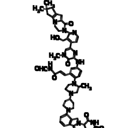 C[C@H]1CN(C2CCN(c3cccc4c3CN(C3CCC(=O)NC3=O)C4=O)CC2)CCN1c1ccc(Nc2nc(-c3ccnc(N4CCn5c(cc6c5CC(C)(C)C6)C4=O)c3CO)cn(C)c2=O)cc1C=CC(=O)NC=O